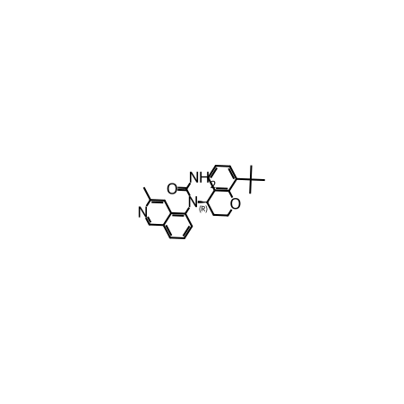 Cc1cc2c(N(C(N)=O)[C@@H]3CCOc4c3cccc4C(C)(C)C)cccc2cn1